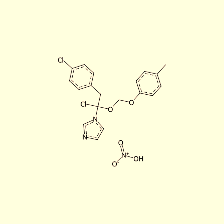 Cc1ccc(OCOC(Cl)(Cc2ccc(Cl)cc2)n2ccnc2)cc1.O=[N+]([O-])O